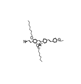 [C-]#[N+]C(=Cc1cc(OCCCCCCCC)c(C=CC#N)cc1OCCCCCCCC)c1ccc(C=Cc2ccc(OCC)cc2)cc1